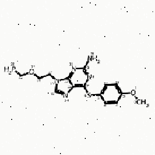 COc1ccc(Sc2nc(N)nc3c2ncn3CCOCP)cc1